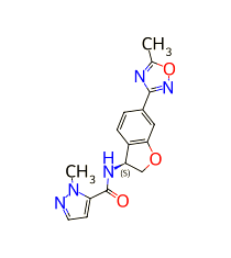 Cc1nc(-c2ccc3c(c2)OC[C@H]3NC(=O)c2ccnn2C)no1